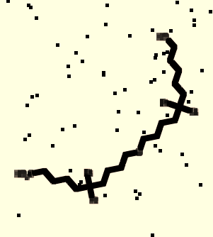 CCC(CC)(CCCCCO)CCCCOCCCCC(CC)(CC)CCCCC(=O)O